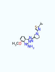 COc1cccc2c1nc(N)n1nc([C@@H]3CCCN(c4csc(C5CC5)n4)C3)nc21